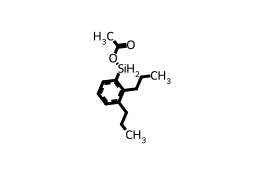 CCCc1cccc([SiH2]OC(C)=O)c1CCC